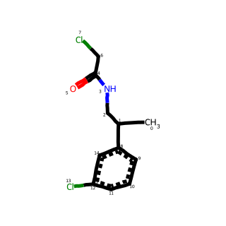 CC(CNC(=O)CCl)c1cccc(Cl)c1